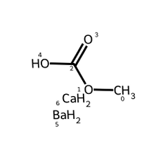 COC(=O)O.[BaH2].[CaH2]